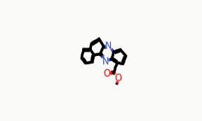 COC(=O)c1cccc2nc3ccc4ccccc4c3nc12